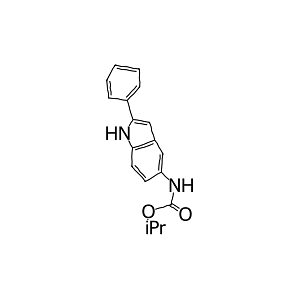 CC(C)OC(=O)Nc1ccc2[nH]c(-c3ccccc3)cc2c1